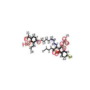 CCCC[C@@H](O)[C@@H](/C=C/C=C\CCCCOc1ccc(C(C)=O)c(O)c1CCC)c1c(OC(=O)OC)oc2c(c1=O)=CCC(=S)C=2